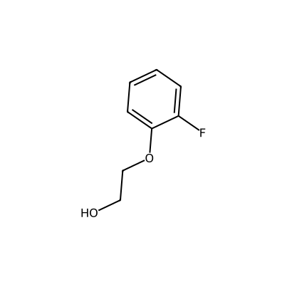 OCCOc1ccccc1F